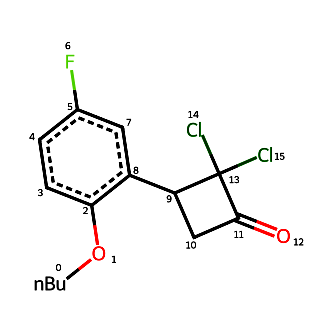 CCCCOc1ccc(F)cc1C1CC(=O)C1(Cl)Cl